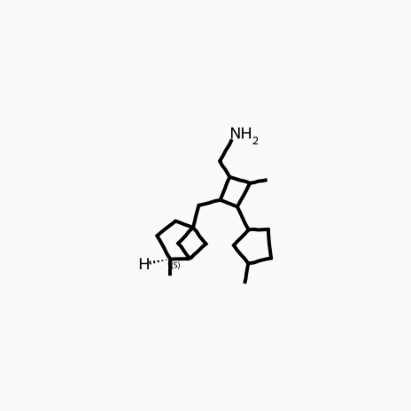 CC1CCC(C2C(C)C(CN)C2CC23CC[C@H](C)C(C2)C3)C1